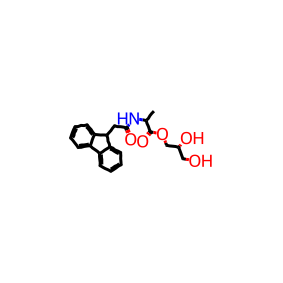 CC(NC(=O)CC1c2ccccc2-c2ccccc21)C(=O)OCC(O)CO